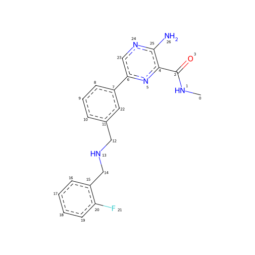 CNC(=O)c1nc(-c2cccc(CNCc3ccccc3F)c2)cnc1N